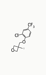 [CH]C1(COc2ccc(C(F)(F)F)cc2Cl)COC1